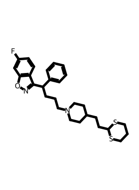 Fc1ccc2c(C(CCCN3CCC(CCC4SCCCS4)CC3)c3ccccc3)noc2c1